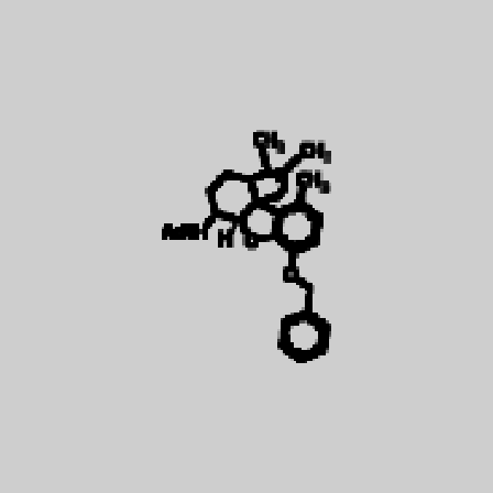 CC(=O)N[C@H]1CCC2C(C)N(C)CCC23c2c(C)ccc(OCc4ccccc4)c2O[C@@H]13